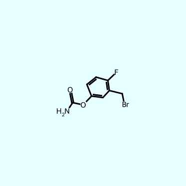 NC(=O)Oc1ccc(F)c(CBr)c1